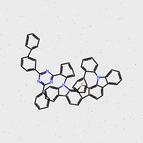 c1ccc(-c2cccc(-c3nc(-c4ccccc4)nc(-c4ccccc4-n4c5ccccc5c5ccc6c7ccc8c9ccccc9n(-c9ccccc9-c9ccccc9)c8c7sc6c54)n3)c2)cc1